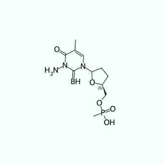 B=C1N(N)C(=O)C(C)=CN1C1CC[C@@H](COP(C)(=O)O)O1